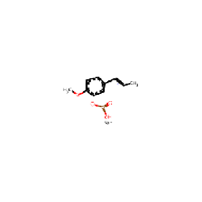 C/C=C/c1ccc(OC)cc1.O=S([O-])O.[Na+]